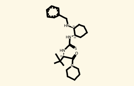 CC(C)(C)[C@H](NC(=S)N[C@H]1CCCC[C@@H]1NCc1ccccc1)C(=O)N1CCCCC1